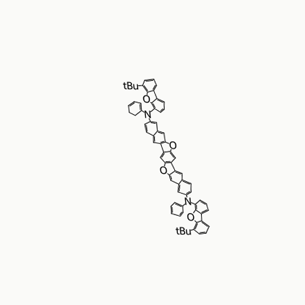 CC(C)(C)c1cccc2c1oc1c(N(C3=CC=CCC3)c3ccc4cc5c(cc4c3)oc3cc4c(cc35)oc3cc5cc(N(c6ccccc6)c6cccc7c6oc6c(C(C)(C)C)cccc67)ccc5cc34)cccc12